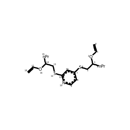 C=COC(CCC)CSc1ccnc(SCC(CCC)OC=C)c1